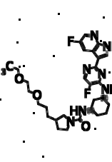 CCOCCOCCCC1CCN(C(=O)N[C@H]2CCC[C@@H](Nc3nc(-c4c[nH]c5ncc(F)cc45)ncc3F)C2)C1